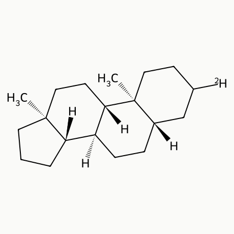 [2H]C1CC[C@@]2(C)[C@@H](CC[C@H]3[C@@H]4CCC[C@@]4(C)CC[C@@H]32)C1